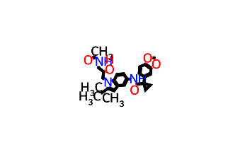 CC(=O)NCC(O)Cn1c(C(C)(C)C)cc2cc(NC(=O)C3(c4ccc5c(c4)OCO5)CC3)ccc21